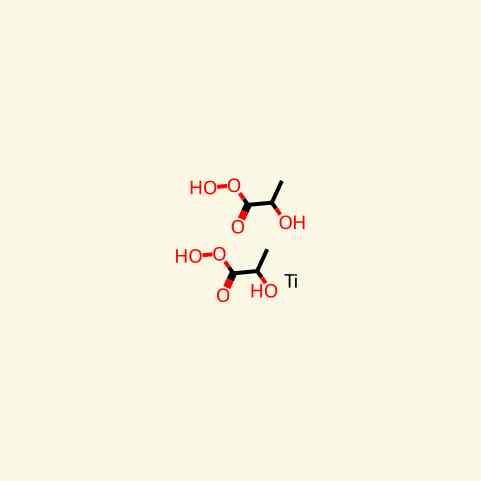 CC(O)C(=O)OO.CC(O)C(=O)OO.[Ti]